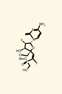 C=C1N=C(N)C=CN1[C@@H]1O[C@@](/C=C(/F)P(=O)(CO)OC)(CCl)[C@@H](O)[C@H]1F